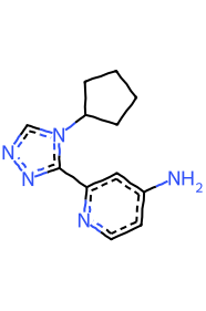 Nc1ccnc(-c2nncn2C2CCCC2)c1